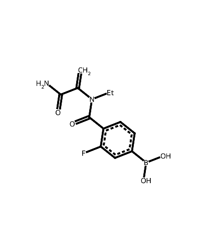 C=C(C(N)=O)N(CC)C(=O)c1ccc(B(O)O)cc1F